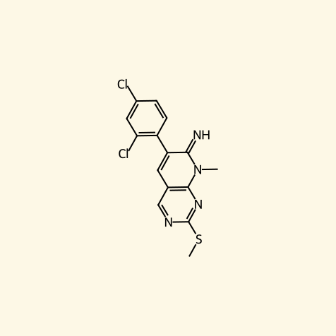 CSc1ncc2cc(-c3ccc(Cl)cc3Cl)c(=N)n(C)c2n1